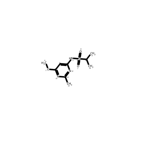 COc1cc(NS(=O)(=O)C(C)C)nc(C)n1